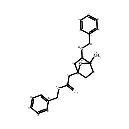 CC12CCC(CC(=O)OCc3ccccc3)(CC1OCc1ccccc1)O2